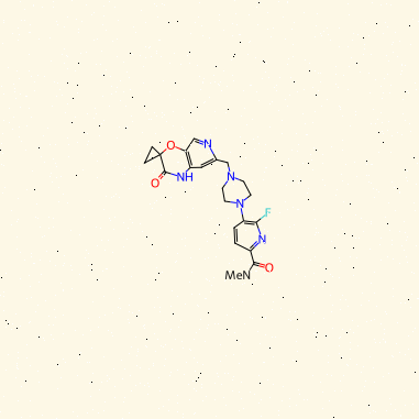 CNC(=O)c1ccc(N2CCN(Cc3cc4c(cn3)OC3(CC3)C(=O)N4)CC2)c(F)n1